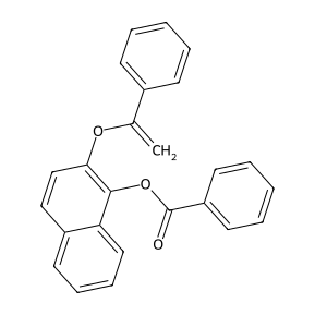 C=C(Oc1ccc2ccccc2c1OC(=O)c1ccccc1)c1ccccc1